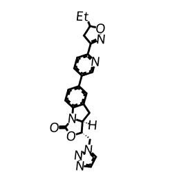 CCC1CC(c2ccc(-c3ccc4c(c3)C[C@H]3[C@H](Cn5ccnn5)OC(=O)N43)cn2)=NO1